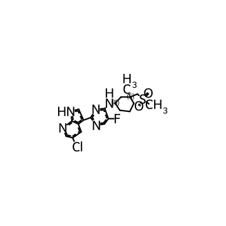 C[C@]1(CS(C)(=O)=O)CCC[C@H](Nc2nc(-c3c[nH]c4ncc(Cl)cc34)ncc2F)C1